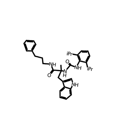 CC(C)c1cccc(C(C)C)c1NC(=O)NC(C)(Cc1c[nH]c2ccccc12)C(=O)NCCCc1ccccc1